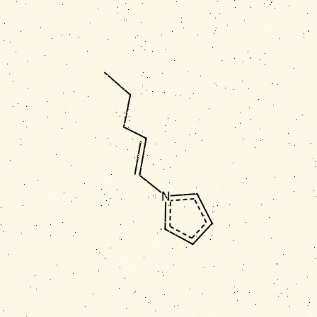 CCCC=Cn1[c]ccc1